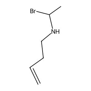 C=CCCNC(C)Br